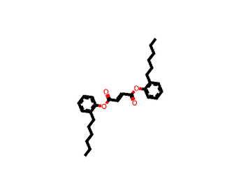 CCCCCCc1ccccc1OC(=O)C=CC(=O)Oc1ccccc1CCCCCC